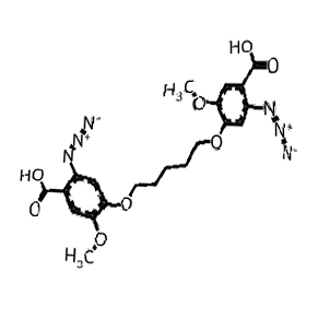 COc1cc(C(=O)O)c(N=[N+]=[N-])cc1OCCCCCOc1cc(N=[N+]=[N-])c(C(=O)O)cc1OC